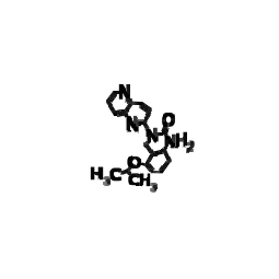 CC(C)Oc1ccccc1CN(C(N)=O)c1ccc2ncccc2n1